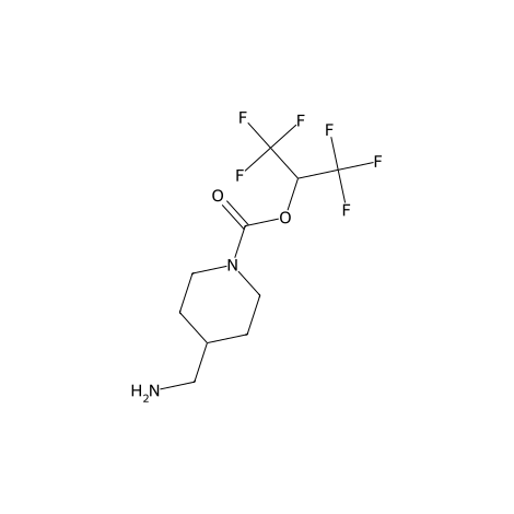 NCC1CCN(C(=O)OC(C(F)(F)F)C(F)(F)F)CC1